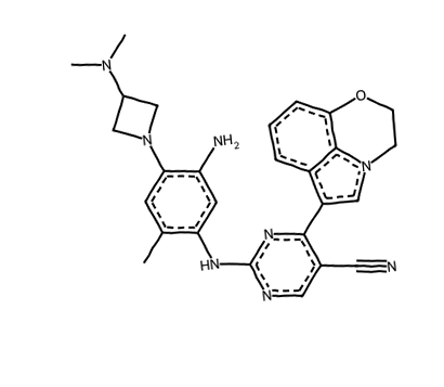 Cc1cc(N2CC(N(C)C)C2)c(N)cc1Nc1ncc(C#N)c(-c2cn3c4c(cccc24)OCC3)n1